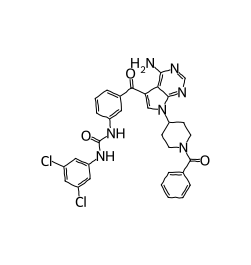 Nc1ncnc2c1c(C(=O)c1cccc(NC(=O)Nc3cc(Cl)cc(Cl)c3)c1)cn2C1CCN(C(=O)c2ccccc2)CC1